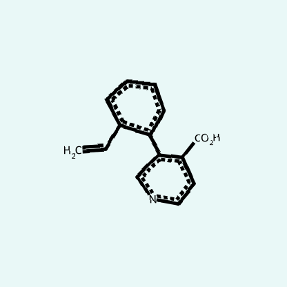 C=Cc1ccccc1-c1cnccc1C(=O)O